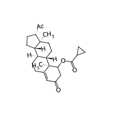 CC(=O)[C@H]1CC[C@H]2[C@@H]3CCC4=CC(=O)CC(OC(=O)C5CC5)[C@]4(C)[C@H]3CC[C@]12C